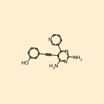 Nc1nc(N)c(C#Cc2cccc(O)c2)c(-c2cccnc2)n1